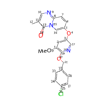 COc1cc(Oc2ccc3ncc(C)c(=O)n3c2)cnc1OCc1ccc(Cl)cc1